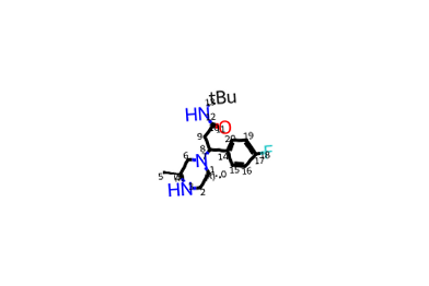 C[C@@H]1CN[C@@H](C)CN1C(CC(=O)NC(C)(C)C)c1ccc(F)cc1